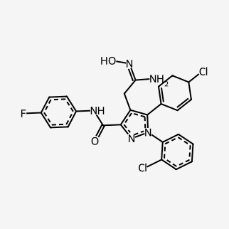 N/C(Cc1c(C(=O)Nc2ccc(F)cc2)nn(-c2ccccc2Cl)c1C1=CCC(Cl)C=C1)=N/O